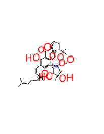 CC(C)=CCC[C@]1(C)C=Cc2c(O)c3c(c(CC(O)C(C)(C)O)c2O1)O[C@]12C(=CC4CC1C(C)(C)OC2(C/C=C(/C)OC=O)C4=O)C3=O